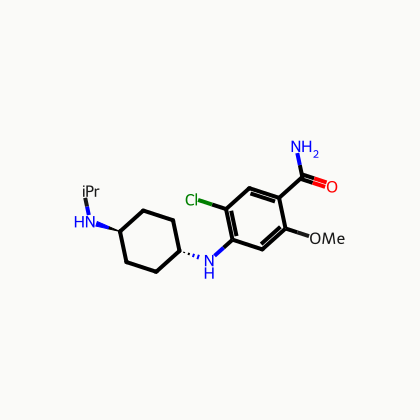 COc1cc(N[C@H]2CC[C@H](NC(C)C)CC2)c(Cl)cc1C(N)=O